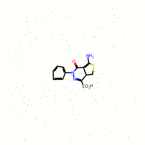 NC1=C2C(=O)N(c3ccccc3)N=C(C(=O)O)C2CS1